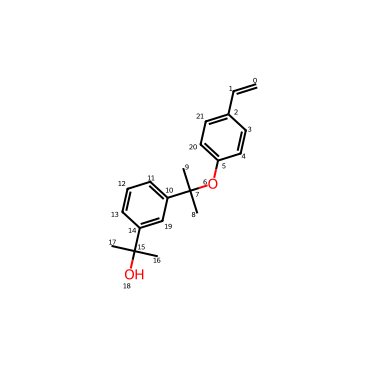 C=Cc1ccc(OC(C)(C)c2cccc(C(C)(C)O)c2)cc1